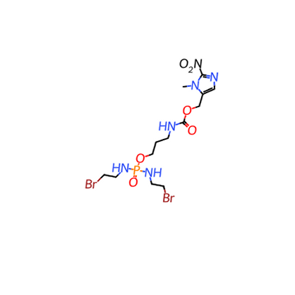 Cn1c(COC(=O)NCCCOP(=O)(NCCBr)NCCBr)cnc1[N+](=O)[O-]